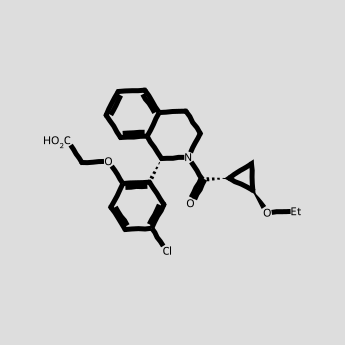 CCO[C@@H]1C[C@H]1C(=O)N1CCc2ccccc2[C@H]1c1cc(Cl)ccc1OCC(=O)O